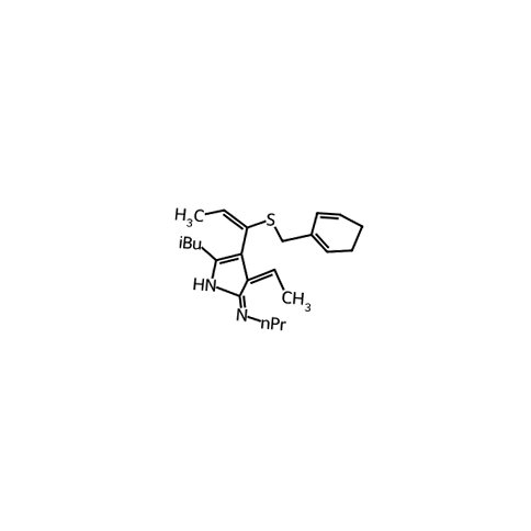 C/C=C1/C(/C(=C\C)SCC2=CCCC=C2)=C(C(C)CC)N/C1=N/CCC